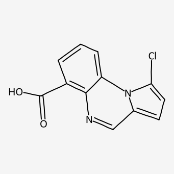 O=C(O)c1cccc2c1ncc1ccc(Cl)n12